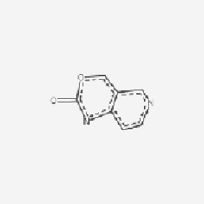 O=c1nc2ccncc2co1